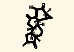 C=C1C[C@H]2[C@@H]3C[C@H](F)C(=O)[C@@]3(C)CC[C@@H]2[C@]2(C)C1=C(S)C(=O)[C@H]1CC12